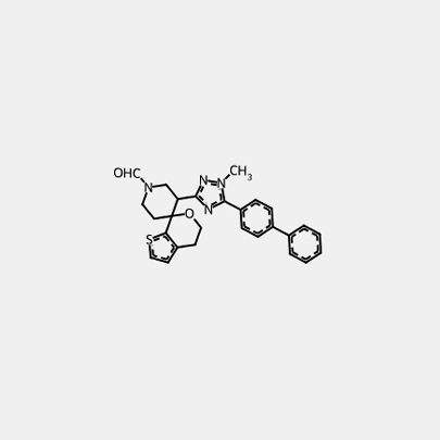 Cn1nc(C2CN(C=O)CCC23OCCc2ccsc23)nc1-c1ccc(-c2ccccc2)cc1